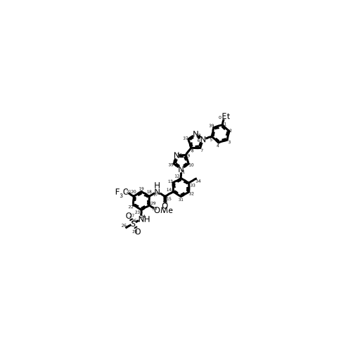 CCc1cccc(-n2cc(-c3cn(-c4cc(C(=O)Nc5cc(C(F)(F)F)cc(NS(C)(=O)=O)c5OC)ccc4C)cn3)cn2)c1